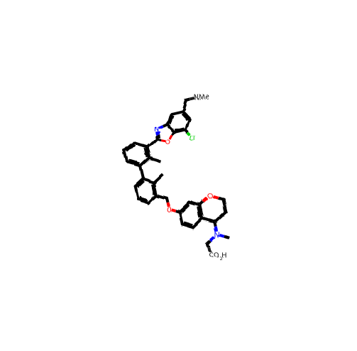 CNCc1cc(Cl)c2oc(-c3cccc(-c4cccc(COc5ccc6c(c5)OCCC6N(C)CC(=O)O)c4C)c3C)nc2c1